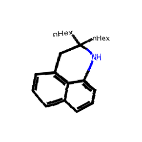 CCCCCCC1(CCCCCC)Cc2cccc3cccc(c23)N1